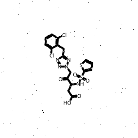 O=C(O)CC(NS(=O)(=O)c1cccs1)C(=O)Cn1nnc(Cc2c(Cl)cccc2Cl)n1